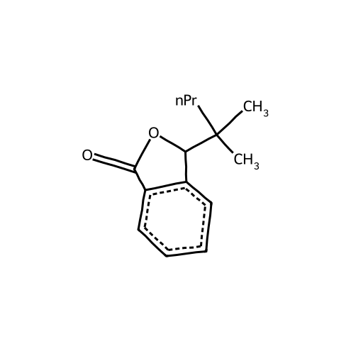 CCCC(C)(C)C1OC(=O)c2ccccc21